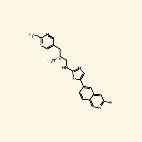 N[C@@H](CNc1ncc(-c2ccc3cnc(F)cc3c2)s1)Cc1cnc(C(F)(F)F)nc1